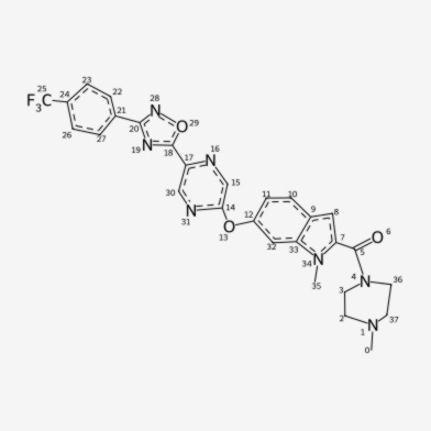 CN1CCN(C(=O)c2cc3ccc(Oc4cnc(-c5nc(-c6ccc(C(F)(F)F)cc6)no5)cn4)cc3n2C)CC1